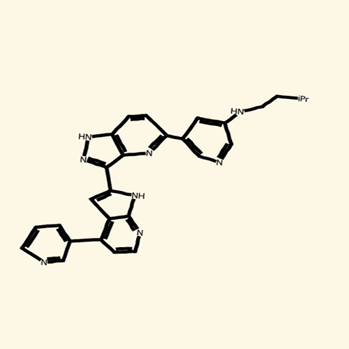 CC(C)CCNc1cncc(-c2ccc3[nH]nc(-c4cc5c(-c6cccnc6)ccnc5[nH]4)c3n2)c1